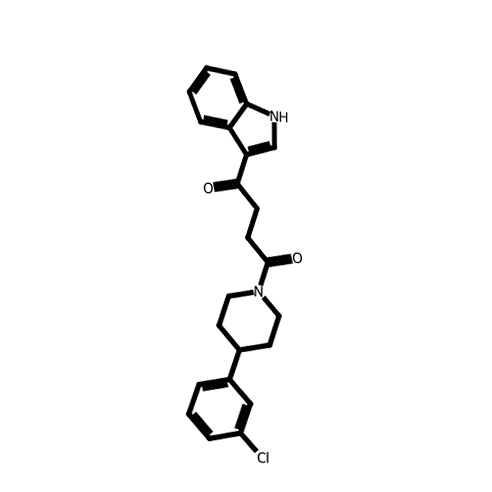 O=C(CCC(=O)N1CCC(c2cccc(Cl)c2)CC1)c1c[nH]c2ccccc12